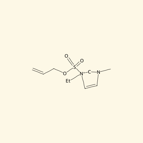 C=CCOS(=O)(=O)[N+]1(CC)C=CN(C)C1